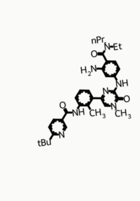 CCCN(CC)C(=O)c1ccc(Nc2nc(-c3cccc(NC(=O)c4ccc(C(C)(C)C)nc4)c3C)cn(C)c2=O)cc1N